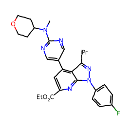 CCOC(=O)c1cc(-c2cnc(N(C)C3CCOCC3)nc2)c2c(C(C)C)nn(-c3ccc(F)cc3)c2n1